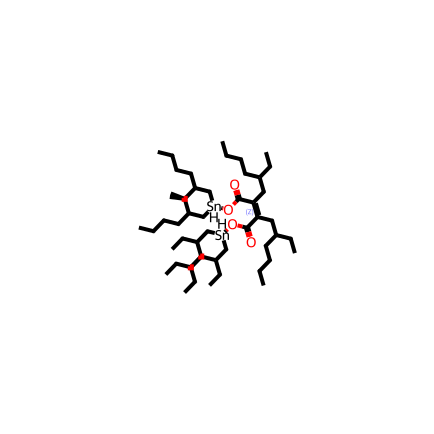 CCCCC(CC)C/C(C(=O)[O][SnH]([CH2]C(CC)CCCC)[CH2]C(CC)CCCC)=C(\CC(CC)CCCC)C(=O)[O][SnH]([CH2]C(CC)CCCC)[CH2]C(CC)CCCC